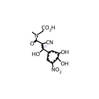 CN(CC(=O)O)C(=O)/C(C#N)=C(\O)c1cc(O)c(O)c([N+](=O)[O-])c1